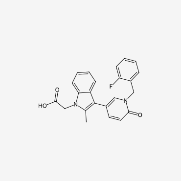 Cc1c(-c2ccc(=O)n(Cc3ccccc3F)c2)c2ccccc2n1CC(=O)O